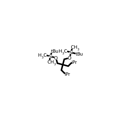 CC(C)CC(CO[Si](C)(C)C(C)(C)C)(CO[Si](C)(C)C(C)(C)C)CC(C)C